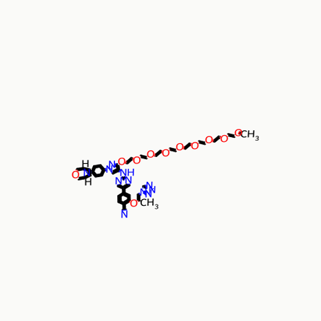 COCCOCCOCCOCCOCCOCCOCCOCCOc1nn(C2CCC(N3[C@@H]4CC[C@H]3COC4)CC2)cc1Nc1ncc(-c2ccc(C#N)c(O[C@@H](C)Cn3cnnn3)c2)cn1